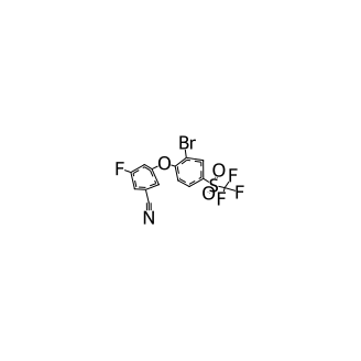 N#Cc1cc(F)cc(Oc2ccc(S(=O)(=O)C(F)(F)F)cc2Br)c1